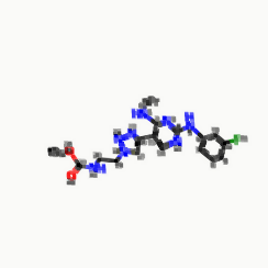 CCCNc1nc(Nc2cccc(F)c2)ncc1-c1cn(CCNC(=O)OC(C)(C)C)nn1